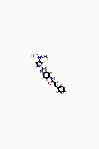 CN(C)[C@@H]1CCN(c2nc3ccc(NC(=O)/C=C/c4ccc(F)cc4)cc3s2)C1